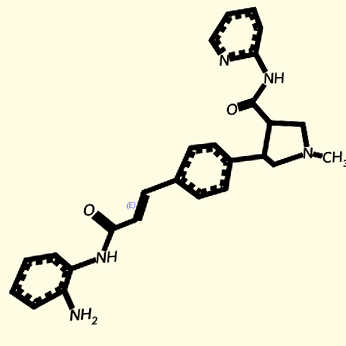 CN1CC(C(=O)Nc2ccccn2)C(c2ccc(/C=C/C(=O)Nc3ccccc3N)cc2)C1